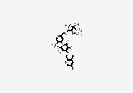 C=N/C(=C\SCc1cc(-n2c(C)cc(OCc3ncc(F)cc3F)c(Cl)c2=O)c(C)cn1)C(C)(C)O